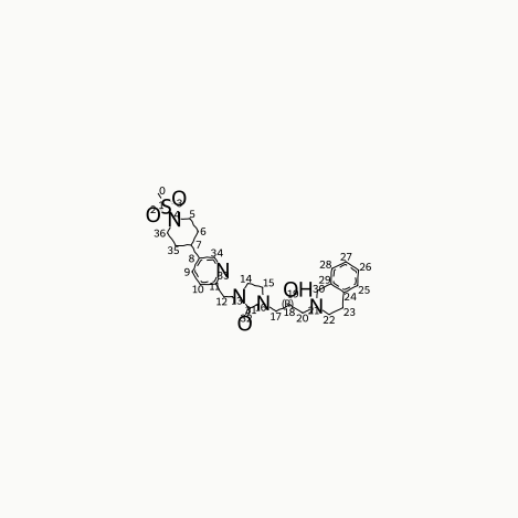 CS(=O)(=O)N1CCC(c2ccc(CN3CCN(C[C@H](O)CN4CCc5ccccc5C4)C3=O)nc2)CC1